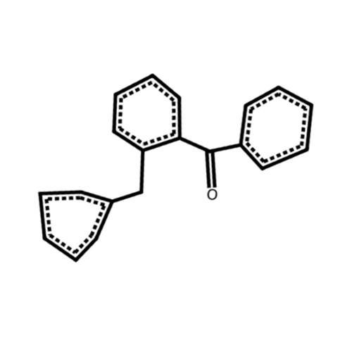 O=C(c1ccccc1)c1ccccc1Cc1ccccc1